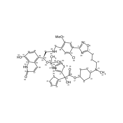 COc1cc(-c2noc(CCCN(C)C3CCC(OC(=O)C(O)(c4cccs4)c4cccs4)CC3)n2)c(Cl)cc1CNC[C@@H](O[Si](C)(C)C(C)(C)C)c1ccc(O)c2[nH]c(=O)ccc12